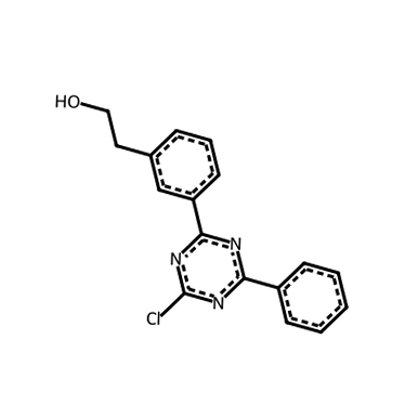 OCCc1cccc(-c2nc(Cl)nc(-c3ccccc3)n2)c1